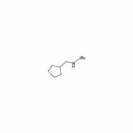 CC(C)(C)NCC1CCCC1